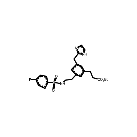 CCOC(=O)CCc1cc(CCNS(=O)(=O)c2ccc(F)cc2)cc(Cc2ncc[nH]2)c1